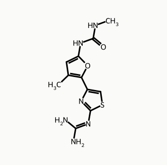 CNC(=O)Nc1cc(C)c(-c2csc(N=C(N)N)n2)o1